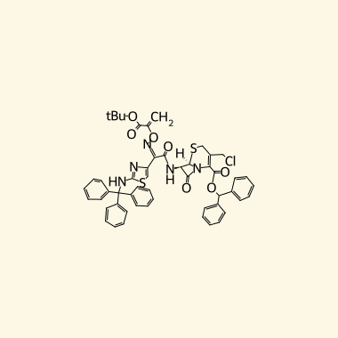 C=C(O/N=C(\C(=O)N[C@@H]1C(=O)N2C(C(=O)OC(c3ccccc3)c3ccccc3)=C(CCl)CS[C@H]12)c1csc(NC(c2ccccc2)(c2ccccc2)c2ccccc2)n1)C(=O)OC(C)(C)C